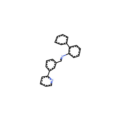 C(=N\c1ccccc1-c1ccccc1)/c1cccc(-c2ccccn2)c1